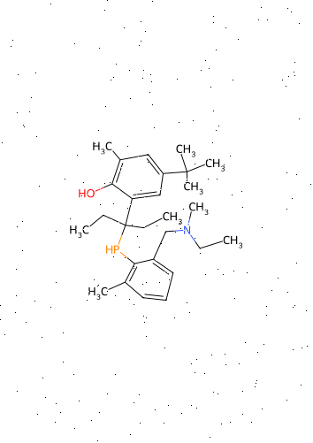 CCN(C)Cc1cccc(C)c1PC(CC)(CC)c1cc(C(C)(C)C)cc(C)c1O